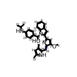 COC1=CC(c2cc3ccccc3n2C(O)c2ccc(NC(C)C)cc2)=N/C1=C\c1[nH]c(C)cc1C